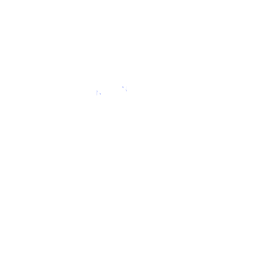 c1ccc(-c2nc3cc(-c4ccc5ccc6cccc7ccc4c5c67)ccc3n2-c2ccccc2)cc1